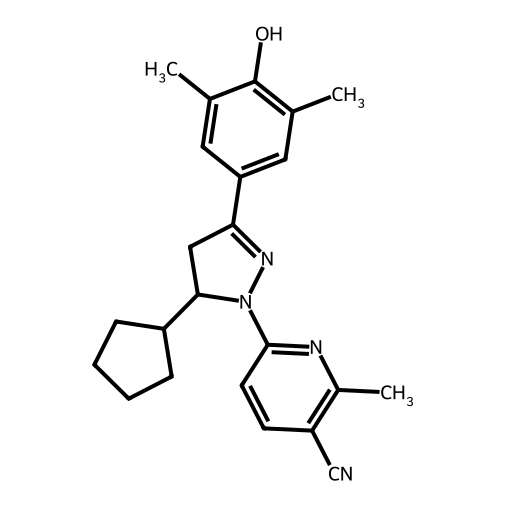 Cc1cc(C2=NN(c3ccc(C#N)c(C)n3)C(C3CCCC3)C2)cc(C)c1O